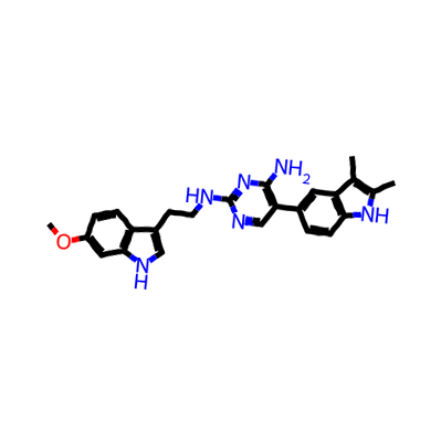 COc1ccc2c(CCNc3ncc(-c4ccc5[nH]c(C)c(C)c5c4)c(N)n3)c[nH]c2c1